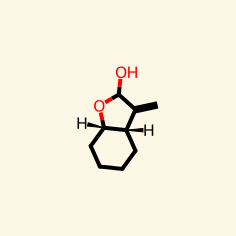 C=C1C(O)O[C@H]2CCCC[C@@H]12